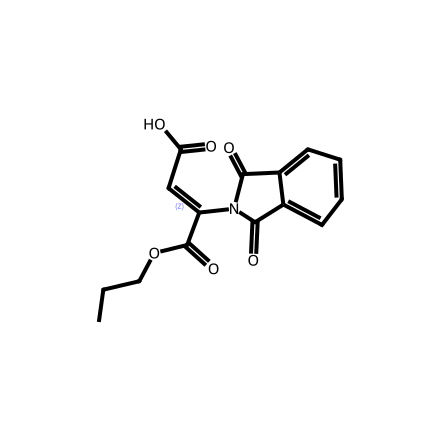 CCCOC(=O)/C(=C/C(=O)O)N1C(=O)c2ccccc2C1=O